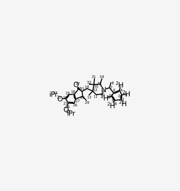 [2H]c1c([2H])c([2H])c(C(C)N2CCC(C)(CC3C(=O)c4cc(OC(C)C)c(OC(C)C)cc4C3C)C(C)(C)C2C)c([2H])c1[2H]